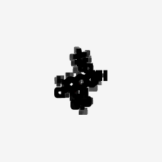 CC(C)(C)[Si](C)(C)OC[C@@H](c1ccc(Cl)c(F)c1)c1c(-c2ccnc(S(C)(=O)=O)n2)cc[nH]c1=O